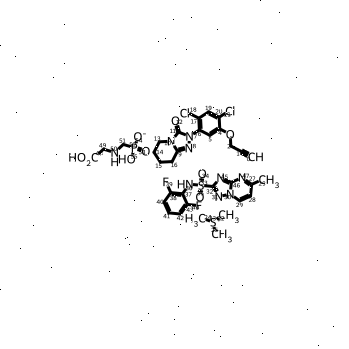 C#CCOc1cc(-n2nc3n(c2=O)CCCC3)c(Cl)cc1Cl.C[S+](C)C.Cc1ccn2nc(S(=O)(=O)Nc3c(F)cccc3F)nc2n1.O=C(O)CNCP(=O)([O-])O